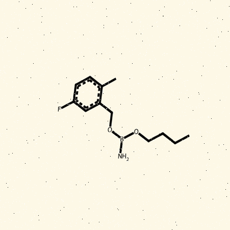 CCCCOB(N)OCc1cc(F)ccc1C